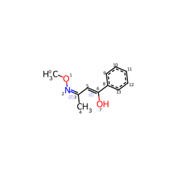 CO/N=C(C)\C=C(/O)c1ccccc1